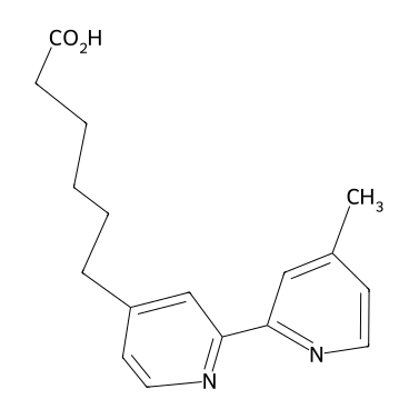 Cc1ccnc(-c2cc(CCCCCC(=O)O)ccn2)c1